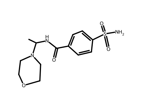 CC(NC(=O)c1ccc(S(N)(=O)=O)cc1)N1CCOCC1